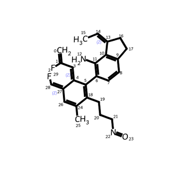 C=C(F)/C=c1/c(-c2ccc3c(c2N)/C(=C\C)CC3)c(CCCN=O)c(C)c/c1=C/F